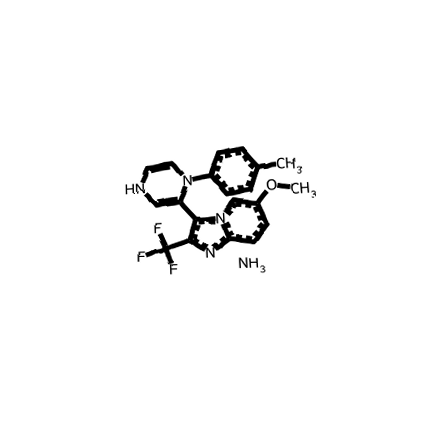 COc1ccc2nc(C(F)(F)F)c(C3=CNC=CN3c3ccc(C)cc3)n2c1.N